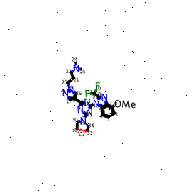 COc1cccc2c1nc(C(F)F)n2-c1nc(-c2cnn(CCCN(C)C)c2)nc(N2CCOCC2)n1